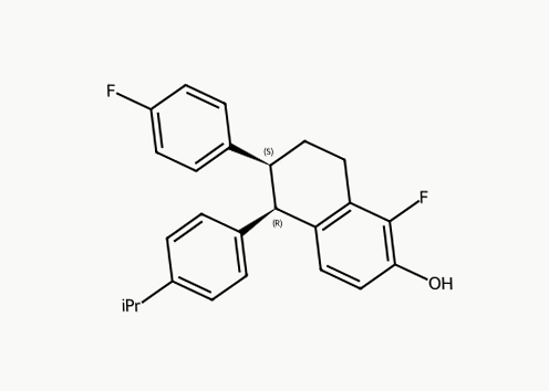 CC(C)c1ccc([C@@H]2c3ccc(O)c(F)c3CC[C@@H]2c2ccc(F)cc2)cc1